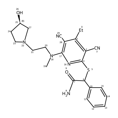 CCc1c(C#N)c(SC(C(N)=O)c2ccccc2)nc(N(C)CCN2CC[C@@H](O)C2)c1C#N